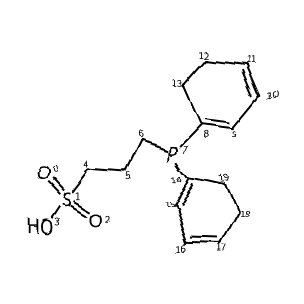 O=S(=O)(O)CCCP(C1=CC=CCC1)C1=CC=CCC1